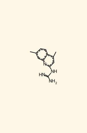 Cc1ccc2c(C)cc(NC(=N)N)nc2c1